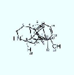 C=C1C2C[C@]34CCN[C@H](Cc5c(C)cccc53)[C@@]14CC2CO